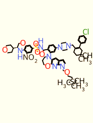 CC1(C)CCC(CN2CCN(c3ccc(C(=O)NS(=O)(=O)c4cc5c(c([N+](=O)[O-])c4)N[C@@H](C4CCOCC4)CO5)c(N4CCCOc5nc6c(ccn6COCC[Si](C)(C)C)cc54)c3)CC2)=C(c2ccc(Cl)cc2)C1